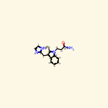 CC(C)c1c(Cc2ncc[nH]2)c2ccccc2n1CCC(N)=O